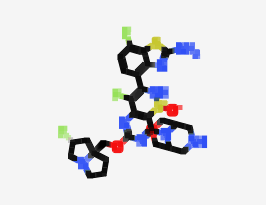 Nc1nc2c(C3=C(F)c4nc(OC[C@@]56CCCN5C[C@H](F)C6)nc(N5C6CNCC5COC6)c4[S+]([O-])N3)ccc(F)c2s1